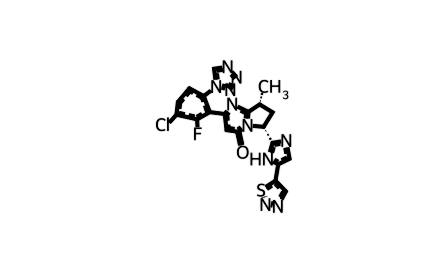 C[C@@H]1C[C@H](c2ncc(-c3cnns3)[nH]2)n2c1nc(-c1c(-n3cnnn3)ccc(Cl)c1F)cc2=O